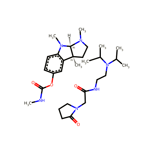 CC(C)N(CCNC(=O)CN1CCCC1=O)C(C)C.CNC(=O)Oc1ccc2c(c1)[C@]1(C)CCN(C)[C@@H]1N2C